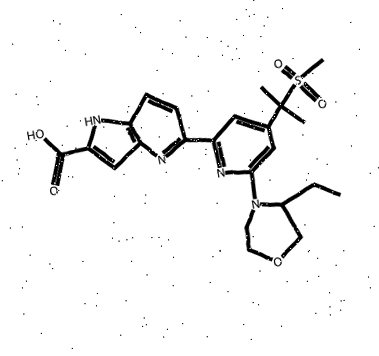 CCC1COCCN1c1cc(C(C)(C)S(C)(=O)=O)cc(-c2ccc3[nH]c(C(=O)O)cc3n2)n1